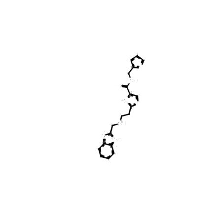 O=C(NCc1cccs1)c1csc(CCNCc2nc3ccccc3[nH]2)n1